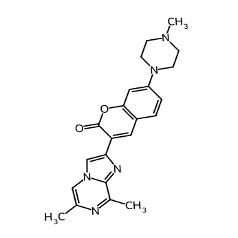 Cc1cn2cc(-c3cc4ccc(N5CCN(C)CC5)cc4oc3=O)nc2c(C)n1